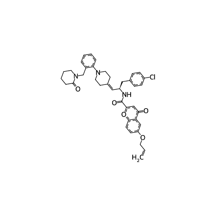 C=CCOc1ccc2oc(C(=O)N[C@@H](C=C3CCN(c4ccccc4CN4CCCCC4=O)CC3)Cc3ccc(Cl)cc3)cc(=O)c2c1